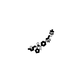 Cc1ccc(CN(C(=O)Nc2ccc(-n3cc(CO[Si](C)(C)C(C)(C)C)nn3)cc2)C2CCCC2)o1